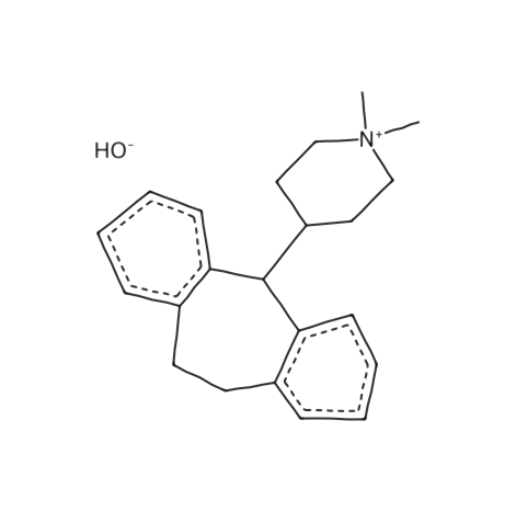 C[N+]1(C)CCC(C2c3ccccc3CCc3ccccc32)CC1.[OH-]